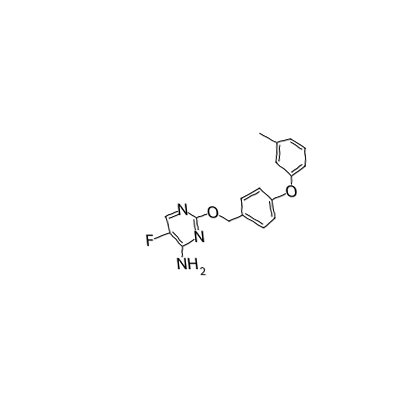 Cc1cccc(Oc2ccc(COc3ncc(F)c(N)n3)cc2)c1